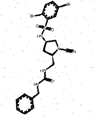 N#CN1C[C@H](NS(=O)(=O)c2cc(Br)ccc2Br)C[C@@H]1CNC(=O)NCc1ccccc1